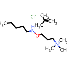 C=C(C)C.CCCCCNOCCC[N+](C)(C)C.[Cl-]